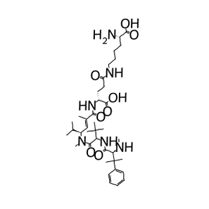 CN[C@H](C(=O)NC(C(=O)N(C)[C@H](/C=C(\C)C(=O)N[C@H](CCC(=O)NCCCC[C@H](N)C(=O)O)C(=O)O)C(C)C)C(C)(C)C)C(C)(C)c1ccccc1